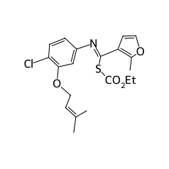 CCOC(=O)SC(=Nc1ccc(Cl)c(OCC=C(C)C)c1)c1ccoc1C